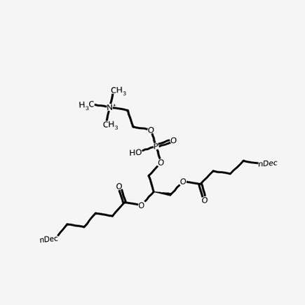 CCCCCCCCCCCCCCC(=O)O[C@H](COC(=O)CCCCCCCCCCCCC)COP(=O)(O)OCC[N+](C)(C)C